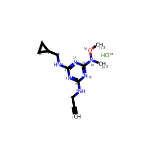 C#CCNc1nc(NCC2CC2)nc(N(C)OC)n1.Cl